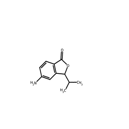 CC(C)C1OC(=O)c2ccc(N)cc21